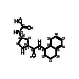 O=C(O)N[C@@H]1CN[C@H](C(=O)NC2CCCc3ccccc32)C1